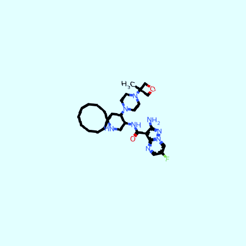 CC1(N2CCN(C3CC4(CCCCCCCCC4)NCC3NC(=O)c3c(N)nn4cc(F)cnc34)CC2)COC1